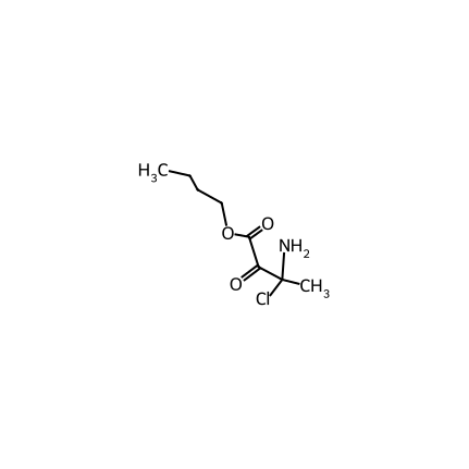 CCCCOC(=O)C(=O)C(C)(N)Cl